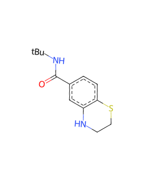 CC(C)(C)NC(=O)c1ccc2c(c1)NCCS2